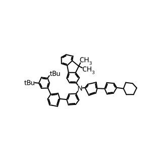 CC(C)(C)c1cc(-c2cccc(-c3cccc(N(c4ccc(-c5ccc(C6CCCCC6)cc5)cc4)c4ccc5c(c4)C(C)(C)c4ccccc4-5)c3)c2)cc(C(C)(C)C)c1